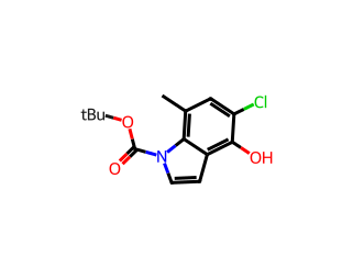 Cc1cc(Cl)c(O)c2ccn(C(=O)OC(C)(C)C)c12